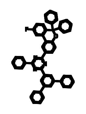 Fc1ccc2c(c1)-c1cc(-c3nc(-c4ccccc4)nc(-c4cc(-c5ccccc5)cc(-c5ccccc5)c4)n3)ccc1OC2(c1ccccc1)c1ccccc1